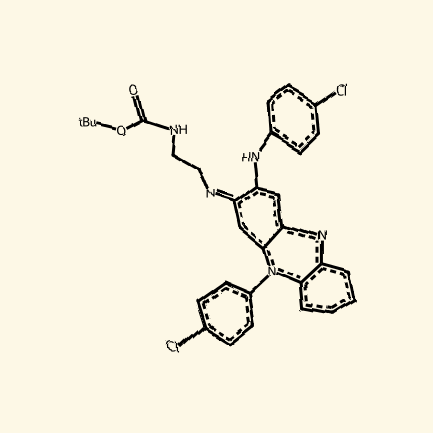 CC(C)(C)OC(=O)NCCN=c1cc2n(-c3ccc(Cl)cc3)c3ccccc3nc-2cc1Nc1ccc(Cl)cc1